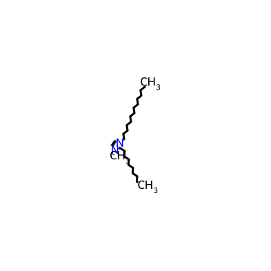 CCCCCCCCCCCCCCN1C=CN(C)C1CCCCCCCCC